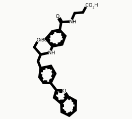 CC(C)COCC(Cc1ccc(-c2cc3ccccc3o2)cc1)Nc1ccc(C(=O)NCCC(=O)O)cc1